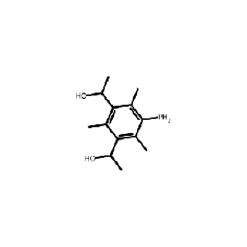 Cc1c(P)c(C)c(C(C)O)c(C)c1C(C)O